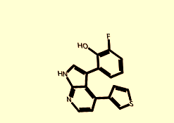 Oc1c(F)cccc1-c1c[nH]c2nccc(-c3ccsc3)c12